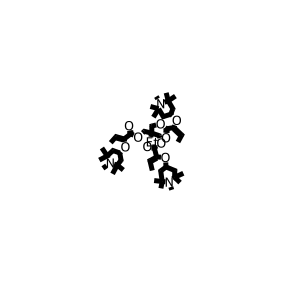 CC=C(OC1CC(C)(C)N(C)C(C)(C)C1)C(=O)OCC(CC)(COC(=O)C(=CC)OC1CC(C)(C)N(C)C(C)(C)C1)COC(=O)C(=CC)OC1CC(C)(C)N(C)C(C)(C)C1